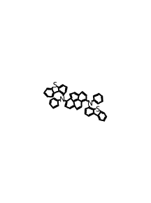 c1ccc(N(c2ccc3ccc4c(N(c5ccccc5)c5cccc6sc7ccccc7c56)ccc5ccc2c3c54)c2cccc3c2sc2ccccc23)cc1